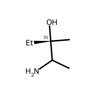 CC[C@](C)(O)C(C)N